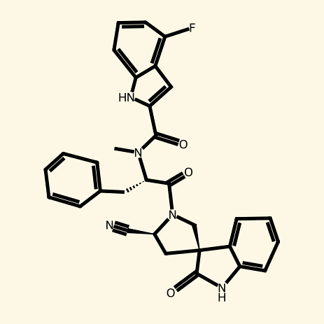 CN(C(=O)c1cc2c(F)cccc2[nH]1)[C@@H](Cc1ccccc1)C(=O)N1C[C@]2(C[C@H]1C#N)C(=O)Nc1ccccc12